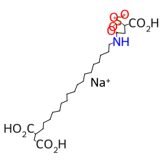 O=C(O)CC(CCCCCCCCCCCCCCCCCCNC(=O)CC(C(=O)O)S(=O)(=O)[O-])C(=O)O.[Na+]